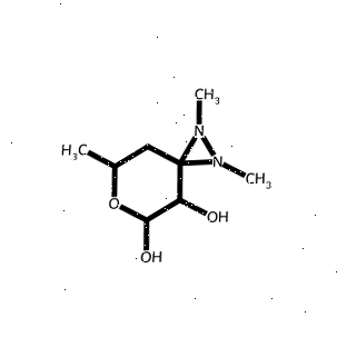 CC1CC2(C(O)C(O)O1)N(C)N2C